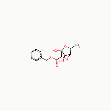 BC1OC2(O)C(C(=O)OCc3ccccc3)OC1C2O